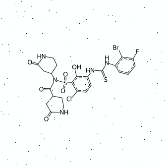 O=C1CC(C(=O)N(C2CCNC(=O)C2)S(=O)(=O)c2c(Cl)ccc(NC(=S)Nc3cccc(F)c3Br)c2O)CCN1